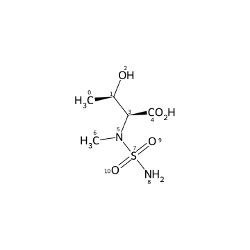 C[C@@H](O)[C@@H](C(=O)O)N(C)S(N)(=O)=O